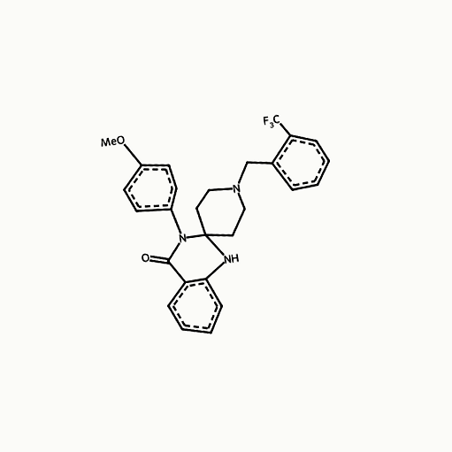 COc1ccc(N2C(=O)c3ccccc3NC23CCN(Cc2ccccc2C(F)(F)F)CC3)cc1